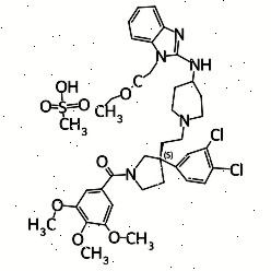 CCOCCn1c(NC2CCN(CC[C@@]3(c4ccc(Cl)c(Cl)c4)CCN(C(=O)c4cc(OC)c(OC)c(OC)c4)C3)CC2)nc2ccccc21.CS(=O)(=O)O